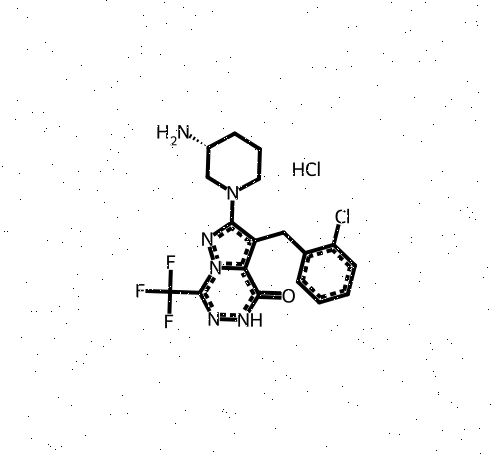 Cl.N[C@@H]1CCCN(c2nn3c(C(F)(F)F)n[nH]c(=O)c3c2Cc2ccccc2Cl)C1